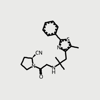 Cc1sc(-c2ccccc2)nc1CC(C)(C)NCC(=O)N1CCC[C@H]1C#N